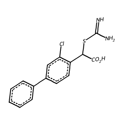 N=C(N)SC(C(=O)O)c1ccc(-c2ccccc2)cc1Cl